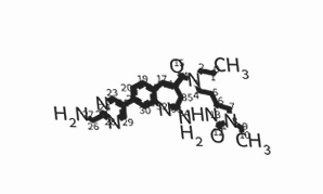 CCCN(CCC1CN(CC)C(=O)N1)C(=O)C1=Cc2ccc(-c3cnc(CN)nc3)cc2N=C(N)C1